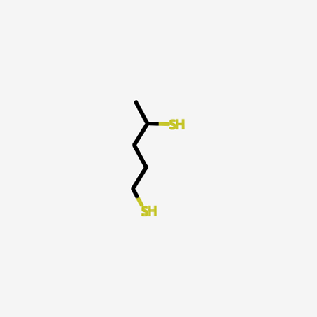 CC(S)CCCS